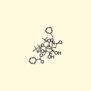 CC(C)(C)[Si](C)(C)O[C@H]1[C@@H](O[Si](C)(C)C)[C@@]2(CC(=O)N2OCc2ccccc2)[C@@H](O)[C@@H](O)[C@@]1(O)COC(=O)c1ccccc1